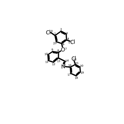 Clc1ccc(Cl)c(Oc2ccccc2C=Nc2ccccc2Cl)c1